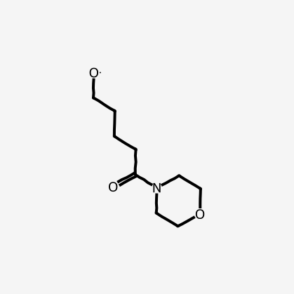 [O]CCCCC(=O)N1CCOCC1